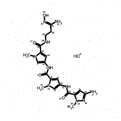 Cl.Cn1cc(NC(=O)c2cc(NC(=O)c3cc(N)nn3C)cn2C)cc1C(=O)NCCC(N)=NO